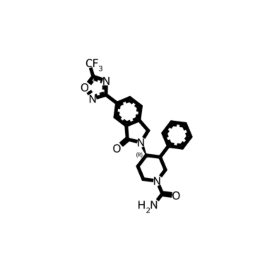 NC(=O)N1CC[C@@H](N2Cc3ccc(-c4noc(C(F)(F)F)n4)cc3C2=O)C(c2ccccc2)C1